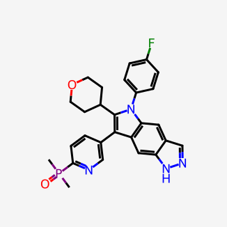 CP(C)(=O)c1ccc(-c2c(C3CCOCC3)n(-c3ccc(F)cc3)c3cc4cn[nH]c4cc23)cn1